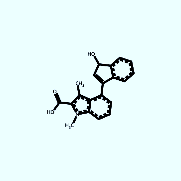 Cc1c(C(=O)O)n(C)c2cccc(C3=CC(O)c4ccccc43)c12